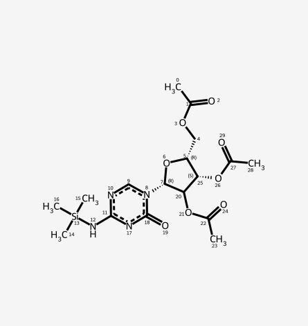 CC(=O)OC[C@H]1O[C@@H](n2cnc(N[Si](C)(C)C)nc2=O)C(OC(C)=O)[C@H]1OC(C)=O